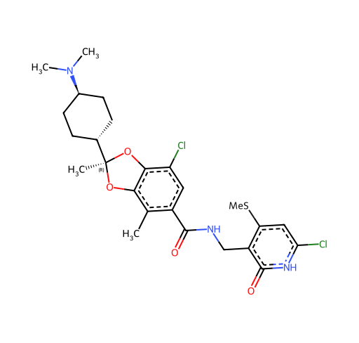 CSc1cc(Cl)[nH]c(=O)c1CNC(=O)c1cc(Cl)c2c(c1C)O[C@@](C)([C@H]1CC[C@H](N(C)C)CC1)O2